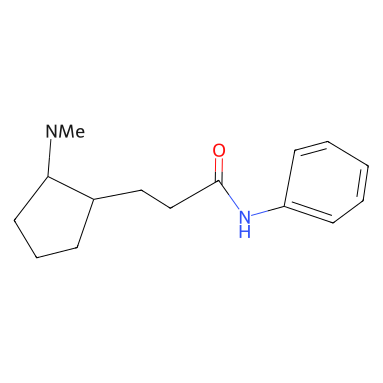 CNC1CCCC1CCC(=O)Nc1ccccc1